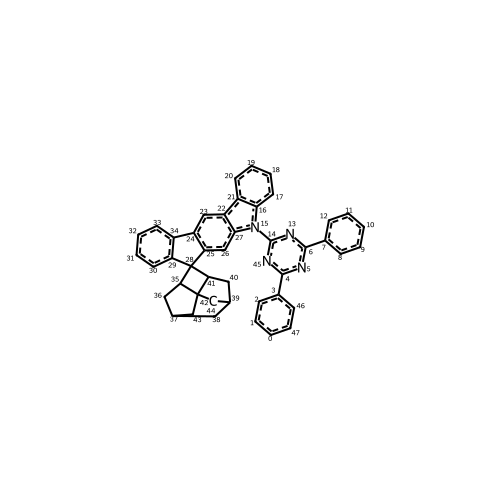 c1ccc(-c2nc(-c3ccccc3)nc(-n3c4ccccc4c4cc5c(cc43)C3(c4ccccc4-5)C4CC5CC6CC3C4(C5)C6)n2)cc1